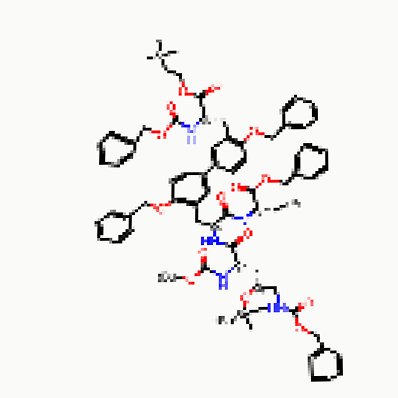 CC(C)C[C@H](NC(=O)[C@H](Cc1cc(-c2ccc(OCc3ccccc3)c(C[C@H](NC(=O)OCc3ccccc3)C(=O)OCC[Si](C)(C)C)c2)ccc1OCc1ccccc1)NC(=O)[C@H](C[C@H](CNC(=O)OCc1ccccc1)O[Si](C)(C)C(C)(C)C)NC(=O)OC(C)(C)C)C(=O)OCc1ccccc1